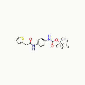 CC(C)(C)OC(=O)Nc1ccc(NC(=O)Cc2cccs2)cc1